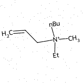 C=CC[N+](C)(CC)CCCC